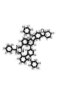 C1=Cc2c(oc3cc4c(cc23)c2cc(-c3ccc5c(c3)c3c(-c6nc(-c7ccccc7)nc(-c7ccccc7)n6)cccc3n5-c3ccccc3)ccc2n4-c2ccccc2)CC1